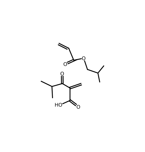 C=C(C(=O)O)C(=O)C(C)C.C=CC(=O)OCC(C)C